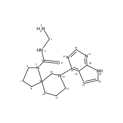 NCNC(=O)N1CCCC12CCCN(c1ncnc3[nH]ccc13)C2